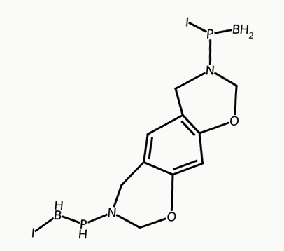 BP(I)N1COc2cc3c(cc2C1)CN(PBI)CO3